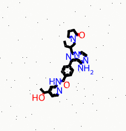 CCC(CN1CCCC1=O)c1nc(-c2ccc(C(=O)Nc3cc(C(C)O)ccn3)cc2)c2c(N)nccn12